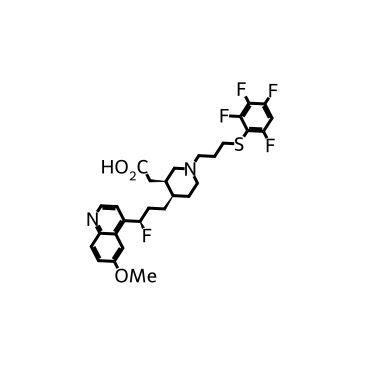 COc1ccc2nccc([C@H](F)CC[C@@H]3CCN(CCCSc4c(F)cc(F)c(F)c4F)C[C@@H]3CC(=O)O)c2c1